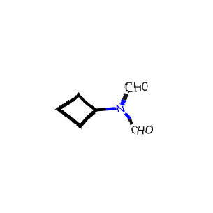 O=CN(C=O)C1CCC1